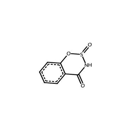 O=C1NS(=O)Oc2ccccc21